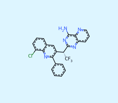 Nc1nc([C@@H](c2cc3cccc(Cl)c3nc2-c2ccccc2)C(F)(F)F)nc2cccnc12